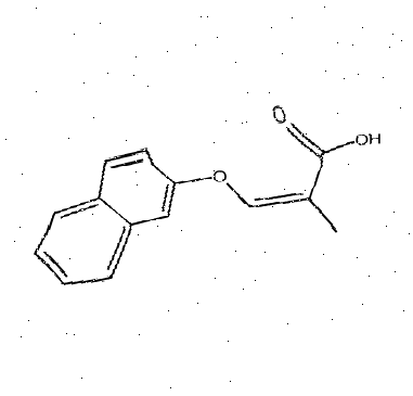 CC(=COc1ccc2ccccc2c1)C(=O)O